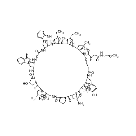 CCCC[C@H]1C(=O)N(C)[C@@H](CCCC)C(=O)N[C@@H](CC(C)C)C(=O)N[C@H](C(=O)NCC(=O)NCCOC)CSCC(=O)N[C@@H](Cc2ccc(O)cc2)C(=O)N(C)[C@@H](C)C(=O)N[C@@H](CC(N)=O)C(=O)N2CCC[C@H]2C(=O)N[C@@H](CN)C(=O)N[C@@H](CC(C)C)C(=O)N2C[C@H](O)C[C@H]2C(=O)N[C@@H](Cc2c[nH]c3ccccc23)C(=O)NCC(=O)N[C@@H](Cc2c[nH]c3ccccc23)C(=O)N1C